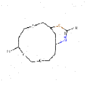 CCC1CCCCCC2CC(CCCC1)SC(C#N)=N2